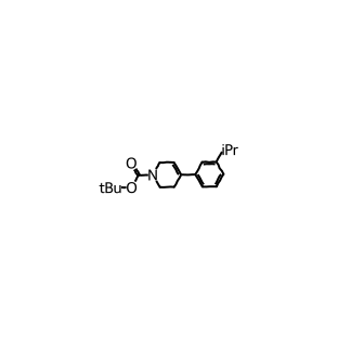 CC(C)c1cccc(C2=CCN(C(=O)OC(C)(C)C)CC2)c1